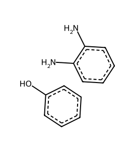 Nc1ccccc1N.Oc1ccccc1